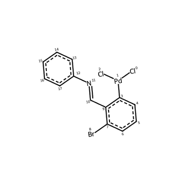 [Cl][Pd]([Cl])[c]1cccc(Br)c1C=Nc1ccccc1